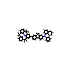 CC1(C)c2cc(-c3cc4c5c(c3)C(C)(C)c3cccc6c3N5c3c(cccc3C4(C)C)C6(C)C)ccc2-c2ccc(N(c3ccccc3)c3cccc4c3CCC=C4)cc21